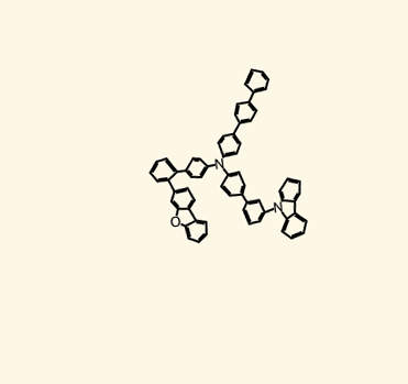 c1ccc(-c2ccc(-c3ccc(N(c4ccc(-c5cccc(-n6c7ccccc7c7ccccc76)c5)cc4)c4ccc(-c5ccccc5-c5ccc6c(c5)oc5ccccc56)cc4)cc3)cc2)cc1